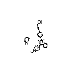 CCN1CCN(c2nc(-c3ccc(C#CCO)cc3)cc3sccc23)CC1.c1ccncc1